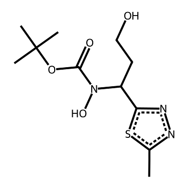 Cc1nnc(C(CCO)N(O)C(=O)OC(C)(C)C)s1